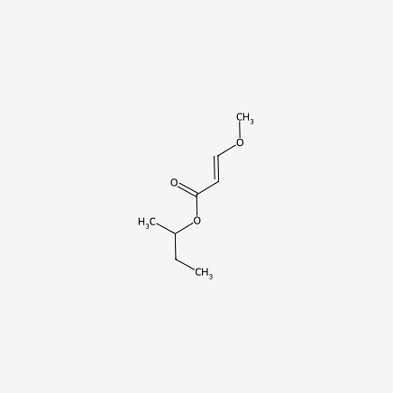 CCC(C)OC(=O)C=COC